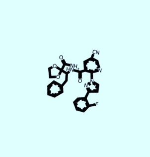 N#Cc1cnc(-n2ccc(-c3ccccc3F)n2)c(C(=O)NC(Cc2ccccc2)C2(C(N)=O)OCCO2)c1